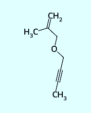 C=C(C)COCC#CC